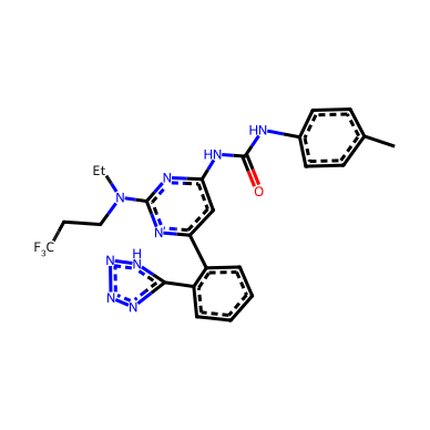 CCN(CCC(F)(F)F)c1nc(NC(=O)Nc2ccc(C)cc2)cc(-c2ccccc2-c2nnn[nH]2)n1